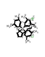 CCCCC1=CC=C[C]1([Ti+3])[Si](c1cc(C)cc(C)c1)(c1cc(C)cc(C)c1)c1cc(C)cc(C)c1.[Cl-].[Cl-].[Cl-]